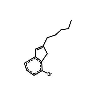 CCCCCC1=Cc2cccc(Br)c2C1